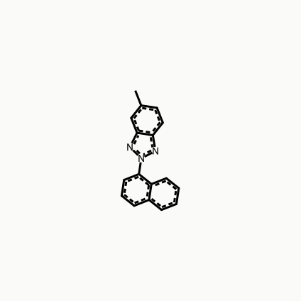 Cc1ccc2nn(-c3cccc4ccccc34)nc2c1